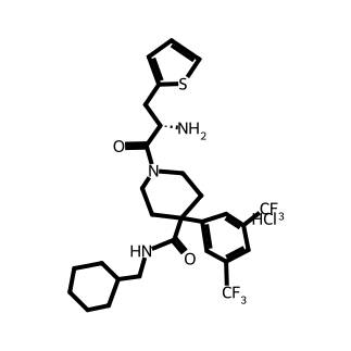 Cl.N[C@@H](Cc1cccs1)C(=O)N1CCC(C(=O)NCC2CCCCC2)(c2cc(C(F)(F)F)cc(C(F)(F)F)c2)CC1